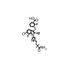 CC(C)(CCn1cc(-n2c(C3CC3)c(Sc3cccc(C(=O)O)c3F)c3ccc(Cl)c(F)c32)cn1)C(N)=O